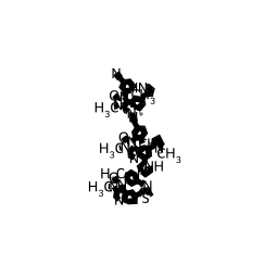 Cc1cc(N2CCNC(c3cc(-c4cccn4C)cc4c3ncc3c4n(-c4cc(C#[N+][n+]5cc6c(c7cc(-c8ccc[nH]8)ccc75)n(-c5cc(C#N)ccc5C)c(=O)n6C)ccc4C)c(=O)n3C)C2)c(C#N)cc1-n1c(=O)n(C)c2cnc3ccc(-c4cccs4)cc3c21